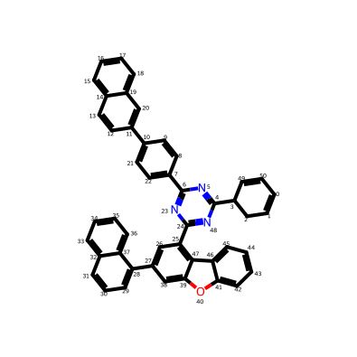 C1=CCC(c2nc(-c3ccc(-c4ccc5ccccc5c4)cc3)nc(-c3cc(-c4cccc5ccccc45)cc4oc5ccccc5c34)n2)C=C1